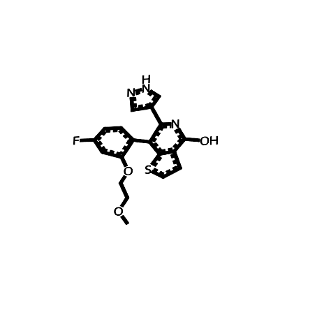 COCCOc1cc(F)ccc1-c1c(-c2cn[nH]c2)nc(O)c2ccsc12